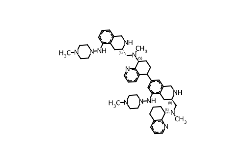 CN1CCN(Nc2cc(C3CC[C@H](N(C)C[C@@H]4Cc5c(cccc5NN5CCN(C)CC5)CN4)c4ncccc43)cc3c2C[C@H](CN(C)[C@H]2CCCc4cccnc42)NC3)CC1